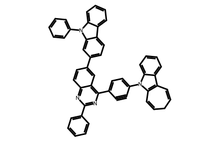 c1c(-c2nc(-c3ccccc3)nc3ccc(-c4ccc5c6ccccc6n(-c6ccccc6)c5c4)cc23)ccc(-n2c3c(c4ccccc42)C=CCC=C3)c#1